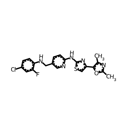 Cc1nc(C)c(-c2csc(Nc3ccc(CNc4ccc(Cl)cc4F)cn3)n2)o1